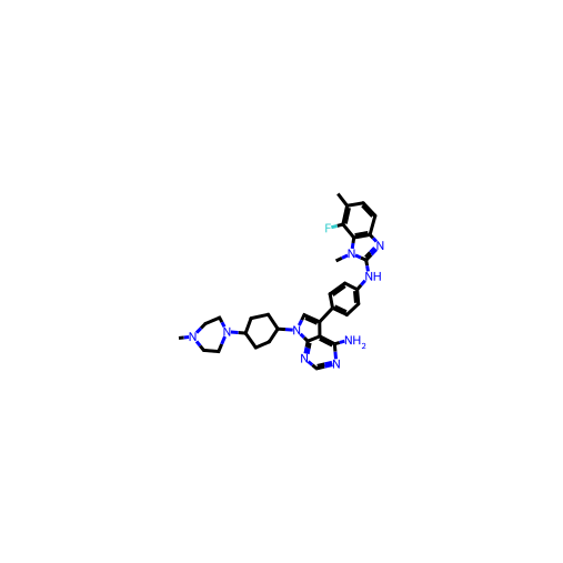 Cc1ccc2nc(Nc3ccc(-c4cn(C5CCC(N6CCN(C)CC6)CC5)c5ncnc(N)c45)cc3)n(C)c2c1F